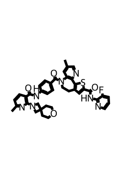 Cc1cnc2c(c1)N(C(=O)c1ccc(NC(=O)c3ccc(C)nc3N3CC4(CCOCC4)C3)cc1)CCc1cc(C(=O)Nc3ncccc3F)sc1-2